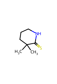 CC1(C)CCCNC1=S